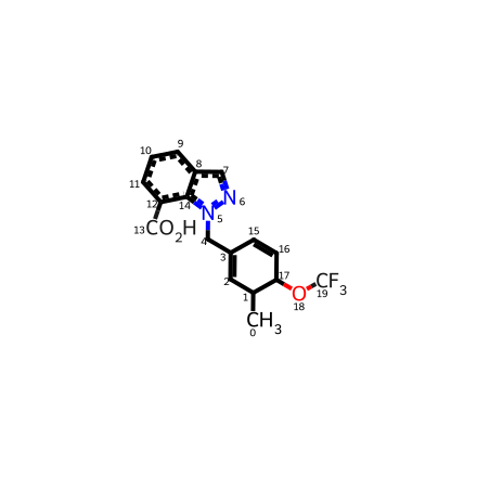 CC1C=C(Cn2ncc3cccc(C(=O)O)c32)C=CC1OC(F)(F)F